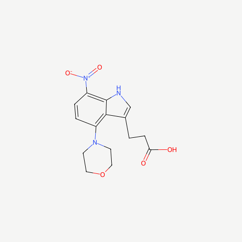 O=C(O)CCc1c[nH]c2c([N+](=O)[O-])ccc(N3CCOCC3)c12